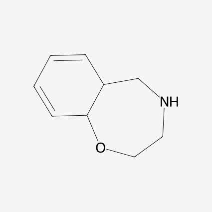 C1=CC2CNCCOC2C=C1